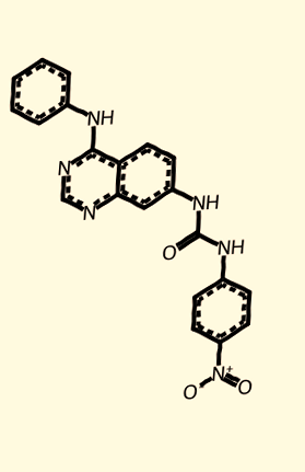 O=C(Nc1ccc([N+](=O)[O-])cc1)Nc1ccc2c(Nc3ccccc3)ncnc2c1